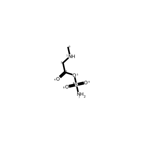 CNCC(=O)OS(N)(=O)=O